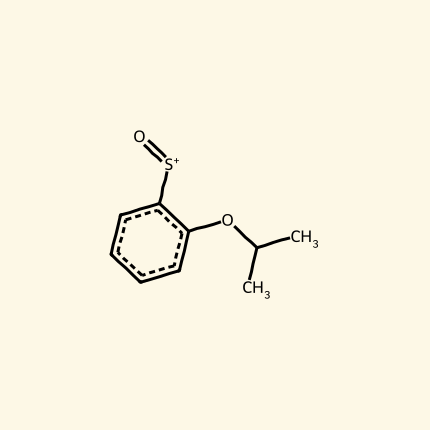 CC(C)Oc1ccccc1[S+]=O